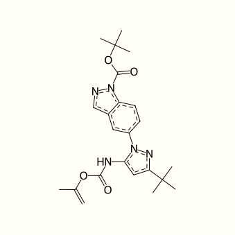 C=C(C)OC(=O)Nc1cc(C(C)(C)C)nn1-c1ccc2c(cnn2C(=O)OC(C)(C)C)c1